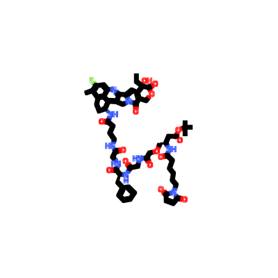 CC[C@@]1(O)C(=O)OCc2c1cc1n(c2=O)Cc2c-1nc1cc(F)c(C)c3c1c2[C@@H](NC(=O)CCCNC(=O)CNC(=O)[C@H](Cc1ccccc1)NC(=O)CNC(=O)COC[C@H](CC(=O)OC(C)(C)C)NC(=O)CCCCCN1C(=O)C=CC1=O)CC3